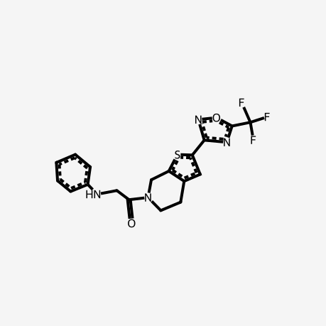 O=C(CNc1ccccc1)N1CCc2cc(-c3noc(C(F)(F)F)n3)sc2C1